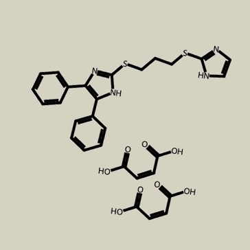 O=C(O)/C=C\C(=O)O.O=C(O)/C=C\C(=O)O.c1ccc(-c2nc(SCCCSc3ncc[nH]3)[nH]c2-c2ccccc2)cc1